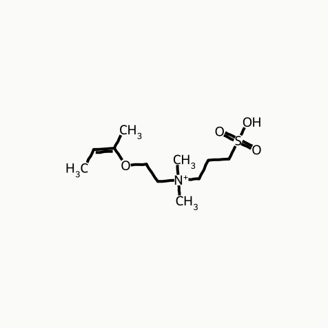 CC=C(C)OCC[N+](C)(C)CCCS(=O)(=O)O